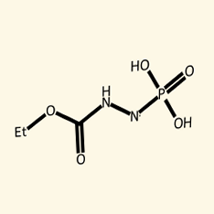 CCOC(=O)N[N]P(=O)(O)O